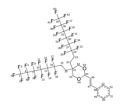 FC(F)(F)C(F)(F)C(F)(F)C(F)(F)C(F)(F)C(F)(F)CCC1(CCC(F)(F)C(F)(F)C(F)(F)C(F)(F)C(F)(F)C(F)(F)F)COC(C=Cc2ccccc2)OC1